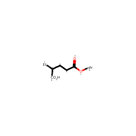 CCCOC(=O)CCC(CC)C(=O)O